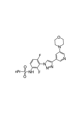 CCCS(=O)(=O)Nc1ccc(F)c(-n2cc(-c3cncc(N4CCOCC4)c3)nn2)c1F